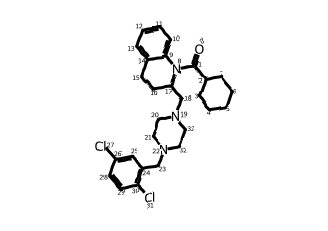 O=C(C1CCCCC1)N1c2ccccc2CCC1CN1CCN(Cc2cc(Cl)ccc2Cl)CC1